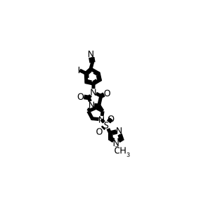 Cn1cnc(S(=O)(=O)N2CC3CC2C2C(=O)N(c4ccc(C#N)c(I)c4)C(=O)N32)c1